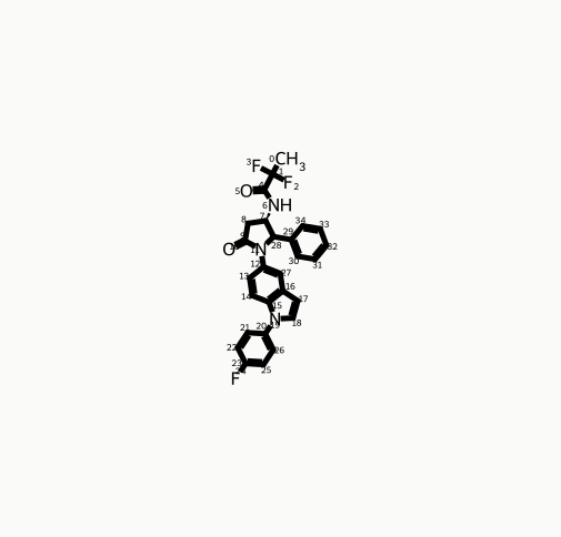 CC(F)(F)C(=O)N[C@H]1CC(=O)N(c2ccc3c(ccn3-c3ccc(F)cc3)c2)C1c1ccccc1